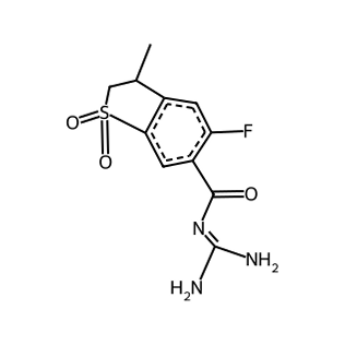 CC1CS(=O)(=O)c2cc(C(=O)N=C(N)N)c(F)cc21